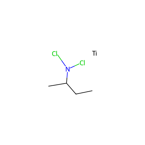 CCC(C)N(Cl)Cl.[Ti]